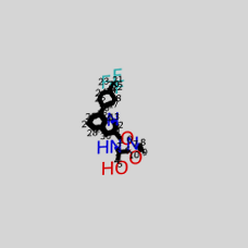 O=C(NC(CO)c1ncco1)c1cnc2c(C3=CCC(C(F)(F)F)CC3)cccc2c1